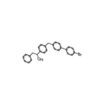 OC(Cc1ccccc1)c1ccc(Cc2ccc(-c3ccc(Br)cc3)cc2)cc1